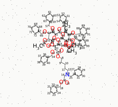 COC(=O)C1O[C@H](OCCCCCN(CC(=O)OCc2ccccc2)Cc2ccccc2)C(OCc2ccccc2)C(O[C@@H]2OC(COCc3ccccc3)[C@H](OCc3ccccc3)C(OCc3ccccc3)C2OC(C)=O)[C@H]1O[C@@H]1O[C@@H](C)[C@H](OCc2ccccc2)C(OCc2ccccc2)C1OC(C)=O